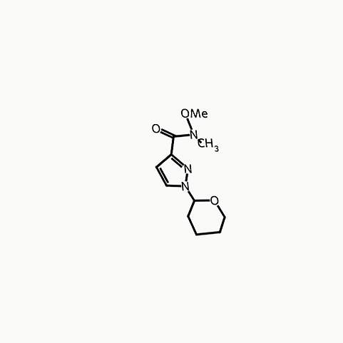 CON(C)C(=O)c1ccn(C2CCCCO2)n1